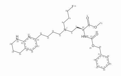 COC(=O)[C@H](CCN(CCCF)CCCCc1ccc2c(n1)NCCC2)NC(=O)OCc1ccccc1